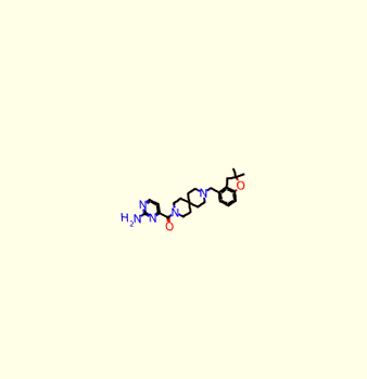 CC1(C)Cc2c(CN3CCC4(CC3)CCN(C(=O)c3ccnc(N)n3)CC4)cccc2O1